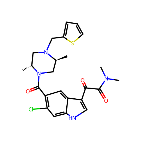 C[C@@H]1CN(Cc2cccs2)[C@@H](C)CN1C(=O)c1cc2c(C(=O)C(=O)N(C)C)c[nH]c2cc1Cl